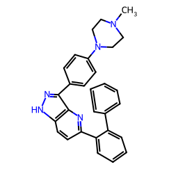 CN1CCN(c2ccc(-c3n[nH]c4ccc(-c5ccccc5-c5ccccc5)nc34)cc2)CC1